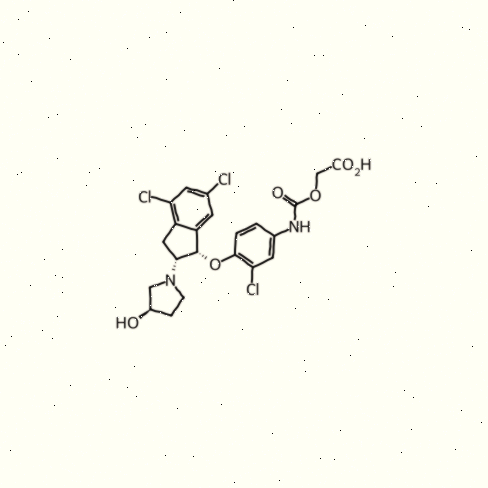 O=C(O)COC(=O)Nc1ccc(O[C@H]2c3cc(Cl)cc(Cl)c3C[C@H]2N2CC[C@@H](O)C2)c(Cl)c1